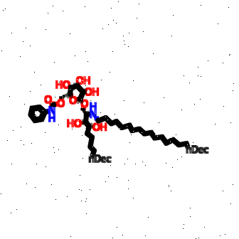 CCCCCCCCCCCCCCCCCCCCCCCCCCN[C@@H](CO[C@H]1O[C@H](COC(=O)Nc2ccccc2)[C@H](O)[C@H](O)[C@H]1O)[C@H](O)[C@H](O)CCCCCCCCCCCCCC